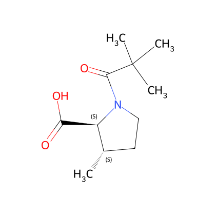 C[C@H]1CCN(C(=O)C(C)(C)C)[C@@H]1C(=O)O